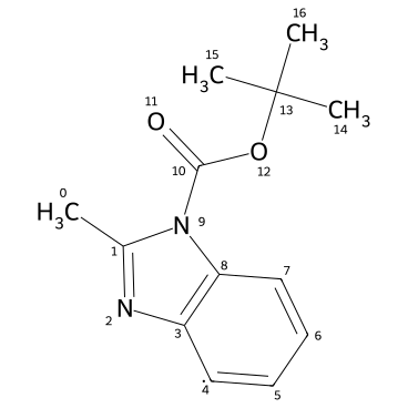 Cc1nc2[c]cccc2n1C(=O)OC(C)(C)C